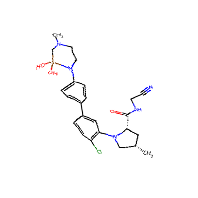 C[C@H]1C[C@@H](C(=O)NCC#N)N(c2cc(-c3ccc(N4CCN(C)CS4(O)O)cc3)ccc2Cl)C1